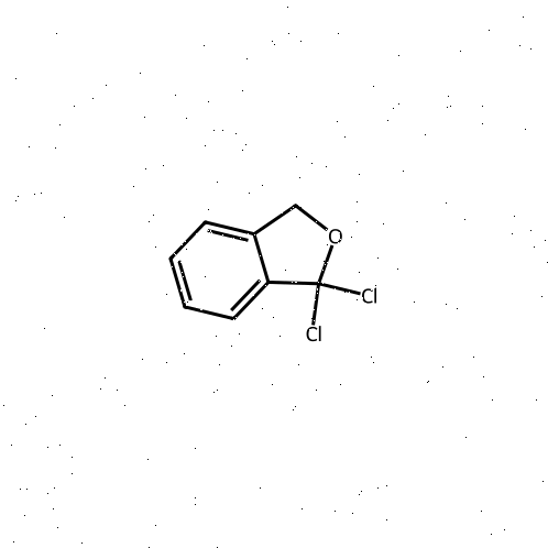 ClC1(Cl)OCc2ccccc21